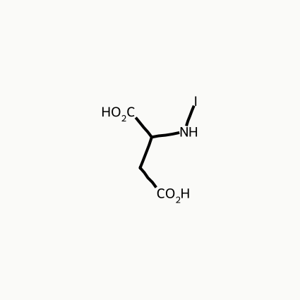 O=C(O)CC(NI)C(=O)O